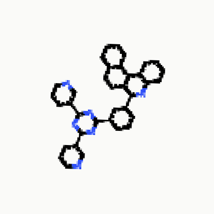 c1cncc(-c2nc(-c3cccnc3)nc(-c3cccc(-c4nc5ccccc5c5c4ccc4ccccc45)c3)n2)c1